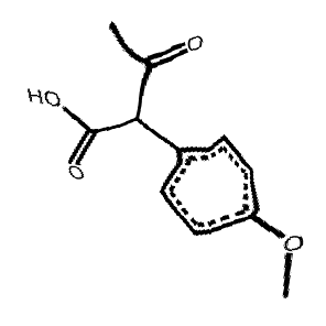 COc1ccc(C(C(C)=O)C(=O)O)cc1